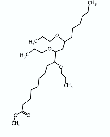 CCCCCCC(CC(OCCC)C(CCCCCCCC(=O)OC)OCCC)OCCC